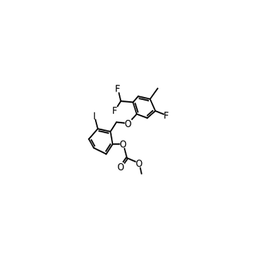 COC(=O)Oc1cccc(I)c1COc1cc(F)c(C)cc1C(F)F